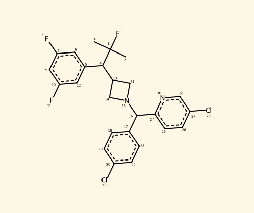 CC(C)(F)C(c1cc(F)cc(F)c1)C1CN(C(c2ccc(Cl)cc2)c2ccc(Cl)cn2)C1